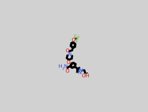 C[C@@H](O)Cn1cc(-c2ccc(OC3CCN(C(=O)Cc4ccc(OC(F)(F)F)cc4)CC3)c(C(N)=O)c2)cn1